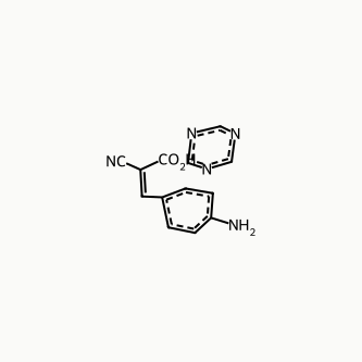 N#CC(=Cc1ccc(N)cc1)C(=O)O.c1ncncn1